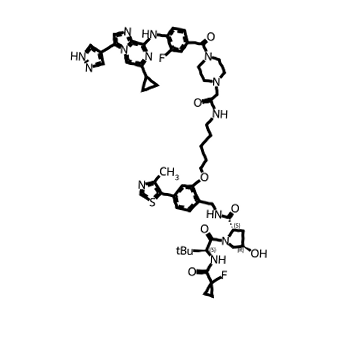 Cc1ncsc1-c1ccc(CNC(=O)[C@@H]2C[C@@H](O)CN2C(=O)[C@@H](NC(=O)C2(F)CC2)C(C)(C)C)c(OCCCCCNC(=O)CN2CCN(C(=O)c3ccc(Nc4nc(C5CC5)cn5c(-c6cn[nH]c6)cnc45)c(F)c3)CC2)c1